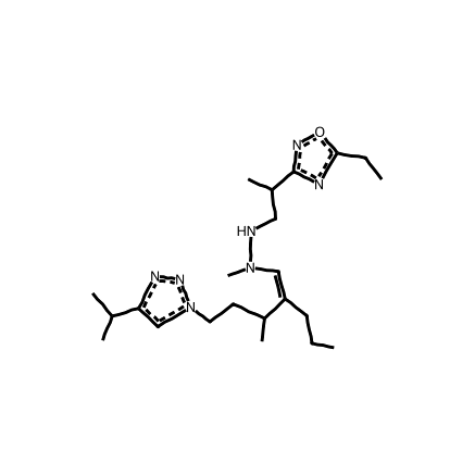 CCCC(=CN(C)NCC(C)c1noc(CC)n1)C(C)CCn1cc(C(C)C)nn1